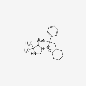 CNC(CC1CCCCC1)(c1ccccc1)[S+]([O-])N1CNC(C)(C)C1=S